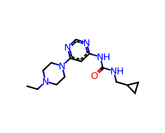 CCN1CCN(c2cc(NC(=O)NCC3CC3)ncn2)CC1